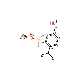 Br.Br.CP(C)O.Cc1ccc(C(C)C)cc1.[Ru]